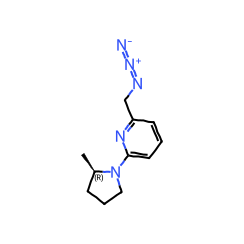 C[C@@H]1CCCN1c1cccc(CN=[N+]=[N-])n1